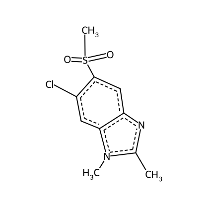 Cc1nc2cc(S(C)(=O)=O)c(Cl)cc2n1C